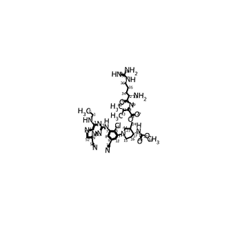 CCNc1nc(Nc2cc(C#N)cc(N3CC[C@@H](NC(=O)OC)C(COC(=O)/C(=N/C(=O)[C@@H](N)CCCNC(=N)N)C(C)C)C3)c2Cl)nn2c(C#N)cnc12